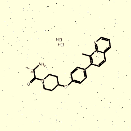 Cc1c(-c2ccc(OC3CCN(C(=O)[C@H](C)N)CC3)cc2)ccc2cccnc12.Cl.Cl